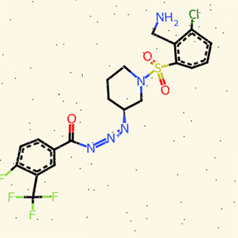 NCc1c(Cl)cccc1S(=O)(=O)N1CCC[C@H](N=[N+]=NC(=O)c2ccc(F)c(C(F)(F)F)c2)C1